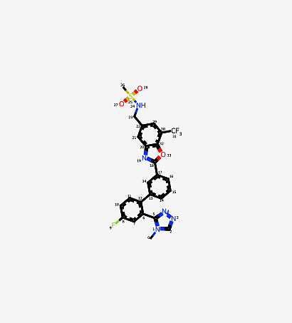 Cn1cnnc1-c1cc(F)ccc1-c1cccc(-c2nc3cc(CNS(C)(=O)=O)cc(C(F)(F)F)c3o2)c1